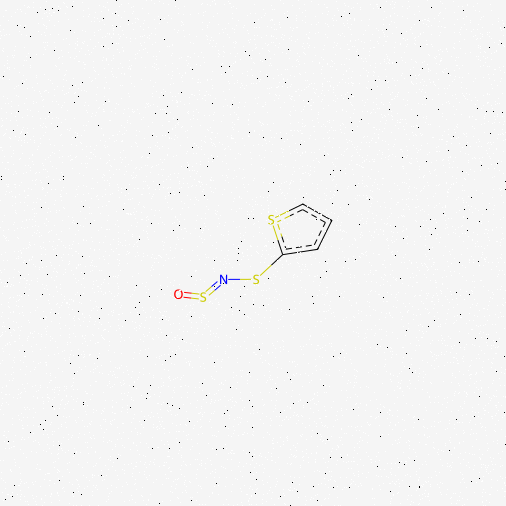 O=S=NSc1cccs1